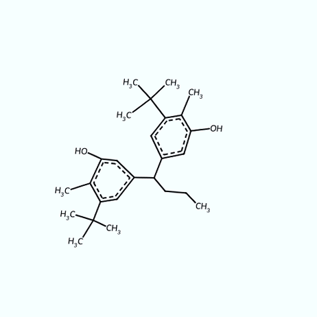 CCCC(c1cc(O)c(C)c(C(C)(C)C)c1)c1cc(O)c(C)c(C(C)(C)C)c1